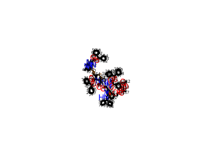 CC(=O)Oc1cc(C(ON=C(C(=O)N[C@@H]2C(=O)N3C(C(=O)OC(c4ccccc4)c4ccccc4)=C(CSc4cc(C)nc5nc(C(=O)OC(c6ccccc6)c6ccccc6)nn45)CS[C@H]23)c2csc(NC(c3ccccc3)(c3ccccc3)c3ccccc3)n2)C(=O)OC(c2ccccc2)c2ccccc2)cc(OC(C)=O)c1OC(C)=O